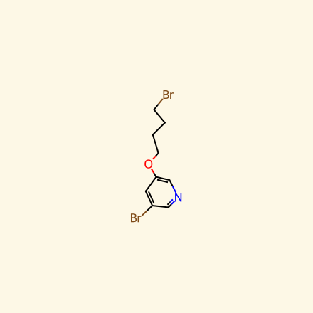 BrCCCCOc1cncc(Br)c1